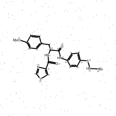 COc1ccc(C[C@H](NC(=O)c2cscn2)C(=O)Nc2ccc(SNC(C)(C)C)cc2)cc1